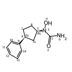 NC(=O)N(O)[C@@H]1CC[C@H](c2ccccc2)C1